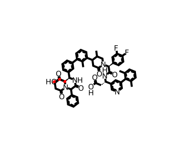 Cc1cccc(C)c1-c1cncc([C@H](CC(=O)O)NC(=O)[C@H](c2ccc(F)c(F)c2)N2CC(C)C(c3cccc(-c4cccc([C@H](CC(=O)O)NC(=O)C(c5ccccc5)N5CCCCC5=O)c4)c3C)CC2=O)c1